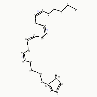 CCCCC/C=C\C/C=C\C/C=C\C/C=C\CCCCc1cnc[nH]1